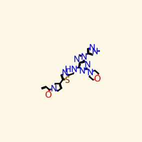 C=CC(=O)N1CC=C(c2cnc(CNc3nc(N4CCOCC4)nc4c3ncn4-c3cnn(C)c3)s2)C1